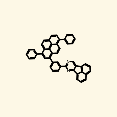 c1ccc(-c2ccc3ccc4c(-c5ccccc5)cc(-c5cccc(-c6ncc7c(n6)-c6cccc8cccc-7c68)c5)c5ccc2c3c45)cc1